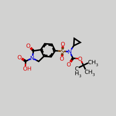 CC(C)(C)OC(=O)N(C1CC1)S(=O)(=O)c1ccc2c(c1)CN(C(=O)O)C2=O